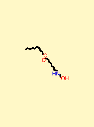 CCCCC/C=C\CCCOC(=O)CCCCCCCNCCO